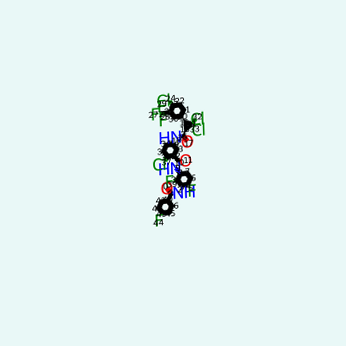 O=C(Nc1c(F)ccc(NC(=O)c2cc(NC(=O)[C@H]3[C@H](c4ccc(Cl)c(C(F)(F)F)c4)C3(Cl)Cl)ccc2Cl)c1F)c1ccc(F)cc1